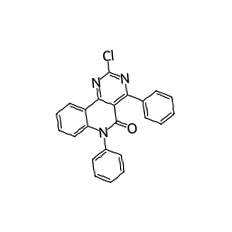 O=c1c2c(-c3ccccc3)nc(Cl)nc2c2ccccc2n1-c1ccccc1